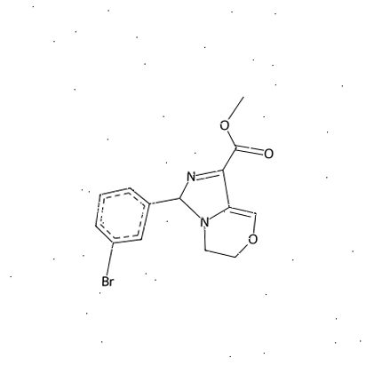 COC(=O)C1=NC(c2cccc(Br)c2)N2CCOC=C12